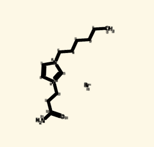 CCCCCCn1cc[n+](CCC(N)=O)c1.[Br-]